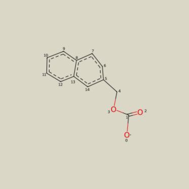 [O]C(=O)OCc1ccc2ccccc2c1